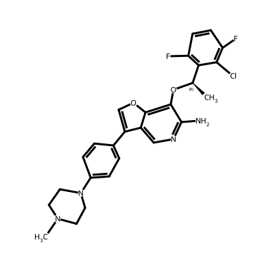 C[C@@H](Oc1c(N)ncc2c(-c3ccc(N4CCN(C)CC4)cc3)coc12)c1c(F)ccc(F)c1Cl